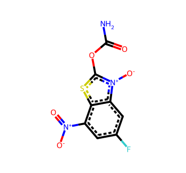 NC(=O)Oc1sc2c([N+](=O)[O-])cc(F)cc2[n+]1[O-]